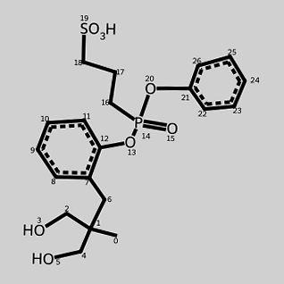 CC(CO)(CO)Cc1ccccc1OP(=O)(CCCS(=O)(=O)O)Oc1ccccc1